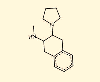 CNC1Cc2ccccc2CC1N1CCCC1